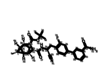 C[C@H]1[C@H]2[C@H]3C[C@@H]([C@@H]12)N(C(=O)OC(C)(C)C)[C@@H]3C(=O)N[C@H](C#N)Cc1ccc(-c2cccc(C(N)=O)c2)cc1F